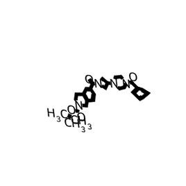 CC(C)(C)OC(=O)N1CCc2cc(C(=O)N3CC(N4CCN(C(=O)c5ccccc5)CC4)C3)ccc2C1